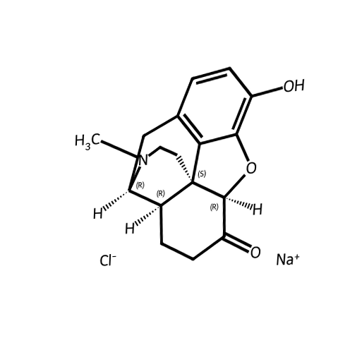 CN1CC[C@]23c4c5ccc(O)c4O[C@H]2C(=O)CC[C@H]3[C@H]1C5.[Cl-].[Na+]